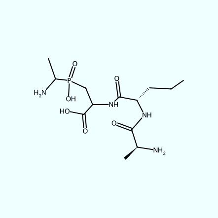 CCC[C@H](NC(=O)[C@H](C)N)C(=O)NC(CP(=O)(O)C(C)N)C(=O)O